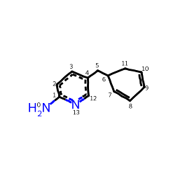 Nc1ccc(CC2C=CC=CC2)cn1